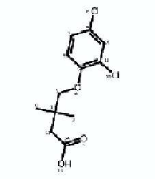 CC(C)(COc1ccc(Cl)cc1Cl)CC(=O)O